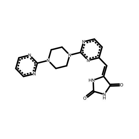 O=C1NC(=O)C(=Cc2ccnc(N3CCN(c4ncccn4)CC3)n2)N1